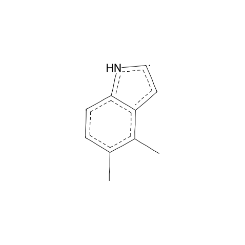 Cc1ccc2[nH][c]cc2c1C